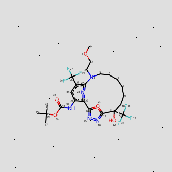 COCCN1CCCCCCC(O)(C(F)(F)F)c2nnc(o2)-c2nc1c(C(F)(F)F)cc2NC(=O)OC(C)(C)C